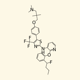 CCCC(F)c1ccccc1Oc1ncccc1Nc1nc(C(F)(F)F)c(-c2ccc(OCC(C)(C)CN(C)C)cc2)s1